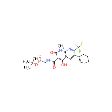 Cn1c(=O)c(C(=O)NCC(=O)OC(C)(C)C)c(O)c2cc(C3=CCCCC3)c(C(F)(F)F)nc21